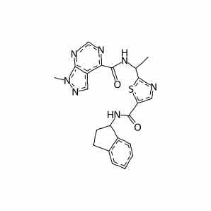 CC(NC(=O)c1ncnc2c1cnn2C)c1ncc(C(=O)NC2CCc3ccccc32)s1